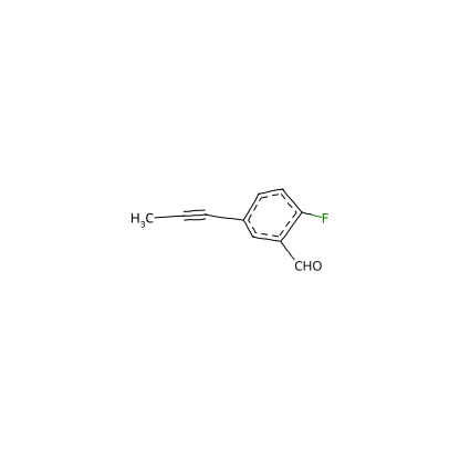 CC#Cc1ccc(F)c(C=O)c1